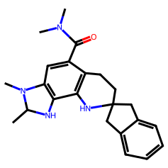 CC1Nc2c(cc(C(=O)N(C)C)c3c2NC2(CC3)Cc3ccccc3C2)N1C